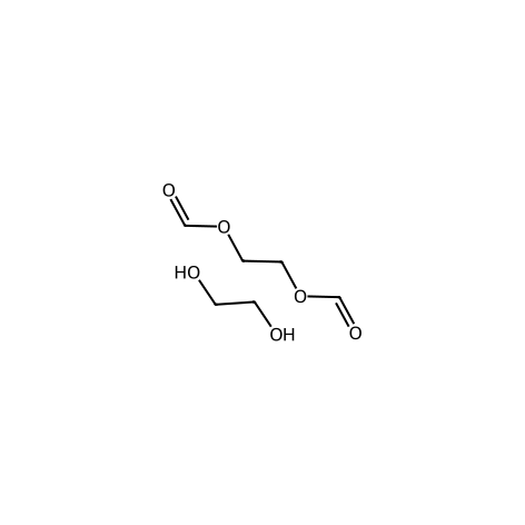 O=COCCOC=O.OCCO